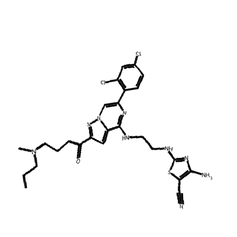 CCCN(C)CCCC(=O)c1cc2c(NCCNc3nc(N)c(C#N)s3)nc(-c3ccc(Cl)cc3Cl)cn2n1